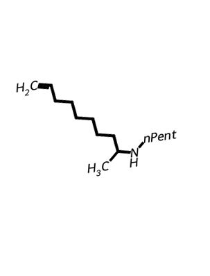 C=CCCCCCCC(C)NCCCCC